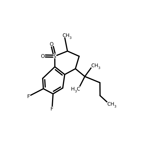 CCCC(C)(C)C1CC(C)S(=O)(=O)c2cc(F)c(F)cc21